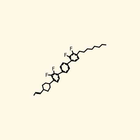 C/C=C/C1CCC(c2ccc(-c3ccc(-c4ccc(CCCCCCCC)c(F)c4F)cc3)c(F)c2F)CC1